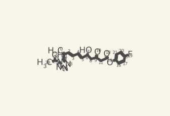 C=C(C=CC=CC(O)CC(=O)CC(=O)Oc1ccc(F)cc1)c1nnnn1C(C)C